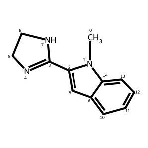 Cn1c(C2=NCCN2)cc2ccccc21